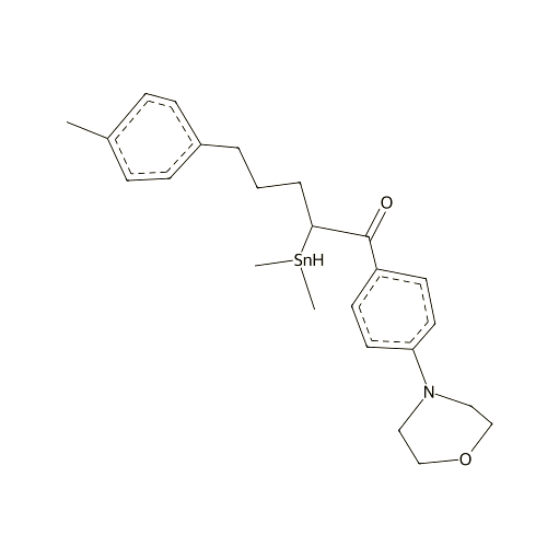 Cc1ccc(CCC[CH](C(=O)c2ccc(N3CCOCC3)cc2)[SnH]([CH3])[CH3])cc1